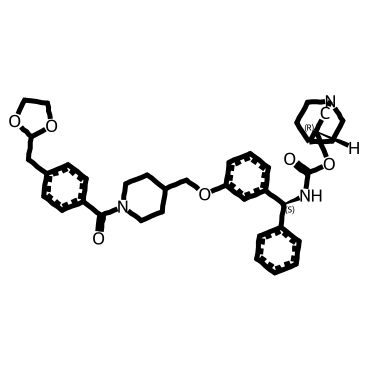 O=C(N[C@@H](c1ccccc1)c1cccc(OCC2CCN(C(=O)c3ccc(CC4OCCO4)cc3)CC2)c1)O[C@H]1CN2CCC1CC2